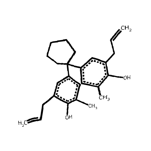 C=CCc1cc(C2(c3cc(C)c(O)c(CC=C)c3)CCCCC2)cc(C)c1O